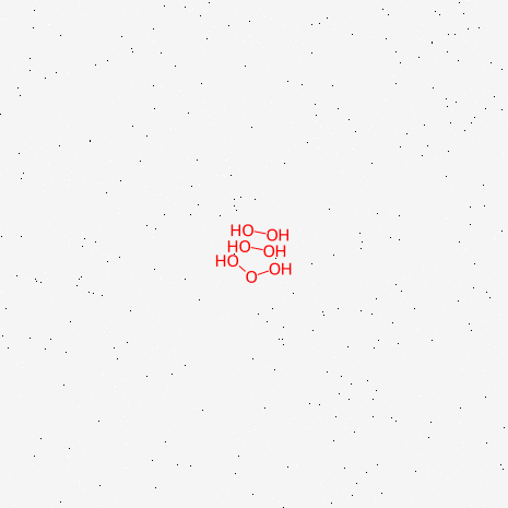 OO.OO.OOO